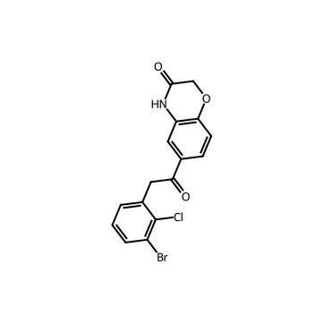 O=C1COc2ccc(C(=O)Cc3cccc(Br)c3Cl)cc2N1